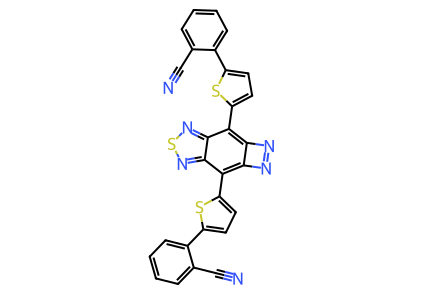 N#Cc1ccccc1-c1ccc(-c2c3c(c(-c4ccc(-c5ccccc5C#N)s4)c4nsnc24)N=N3)s1